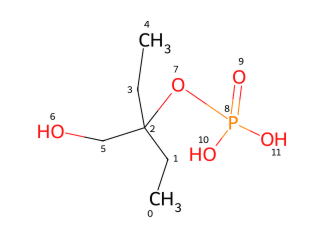 CCC(CC)(CO)OP(=O)(O)O